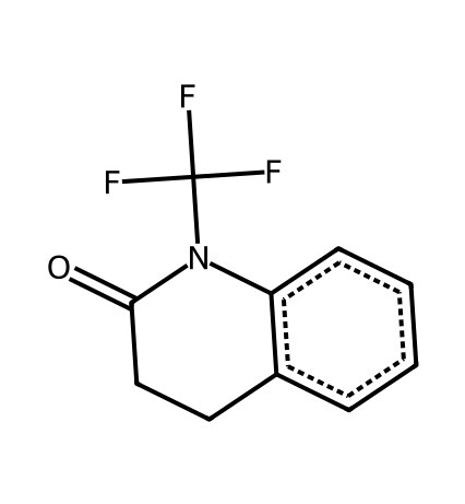 O=C1CCc2ccccc2N1C(F)(F)F